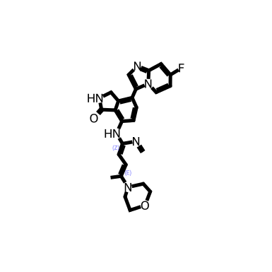 C=N/C(=C\C=C(/C)N1CCOCC1)Nc1ccc(-c2cnc3cc(F)ccn23)c2c1C(=O)NC2